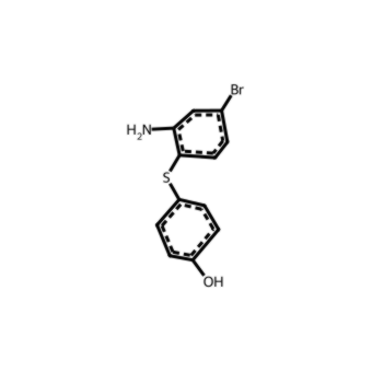 Nc1cc(Br)ccc1Sc1ccc(O)cc1